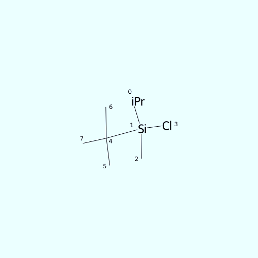 CC(C)[Si](C)(Cl)C(C)(C)C